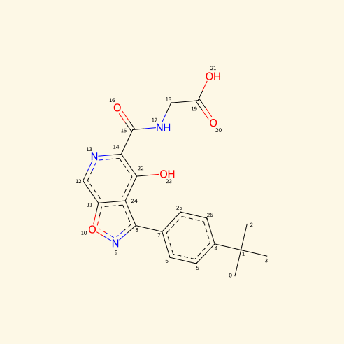 CC(C)(C)c1ccc(-c2noc3cnc(C(=O)NCC(=O)O)c(O)c23)cc1